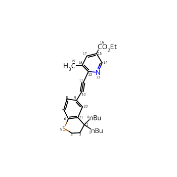 CCCCC1(CCCC)CCSc2ccc(C#Cc3ncc(C(=O)OCC)cc3C)cc21